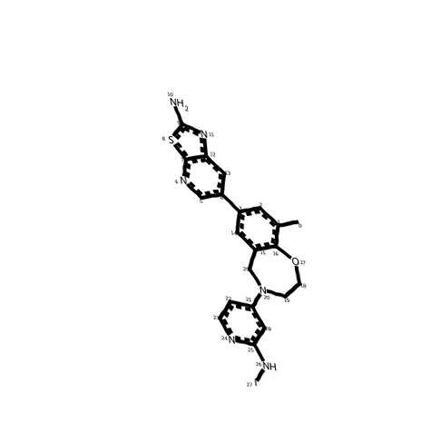 Cc1cc(-c2cnc3sc(N)nc3c2)cc2c1OCCN(c1ccnc(NI)c1)C2